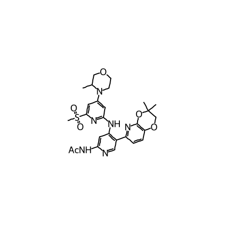 CC(=O)Nc1cc(Nc2cc(N3CCOCC3C)cc(S(C)(=O)=O)n2)c(-c2ccc3c(n2)OC(C)(C)CO3)cn1